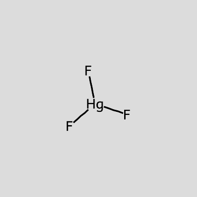 [F][Hg]([F])[F]